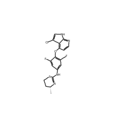 C[C@@H]1CCSC(Nc2cc(F)c(Oc3ccnc4[nH]cc(Cl)c34)c(F)c2)=N1